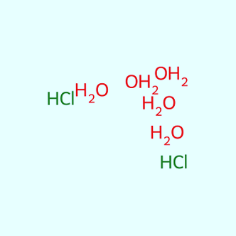 Cl.Cl.O.O.O.O.O